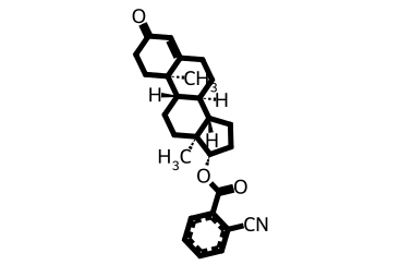 C[C@]12CC[C@H]3[C@@H](CCC4=CC(=O)CC[C@@]43C)[C@@H]1CC[C@@H]2OC(=O)c1ccccc1C#N